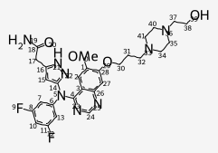 COc1cc2c(N(c3cc(F)cc(F)c3)c3cc(CC(N)=O)[nH]n3)ncnc2cc1OCCCN1CCN(CCO)CC1